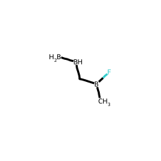 BBCB(C)F